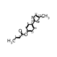 CC=CC(=O)Oc1ccc(-c2ncc(C)s2)cc1